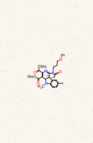 COC(=O)C1=C(C(=O)OC)C2N(C)c3ccc(I)cc3[C@@]23CCC(=O)N(CCCOC(C)C)C3=N1